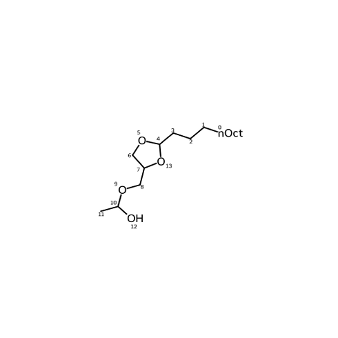 CCCCCCCCCCCC1OCC(COC(C)O)O1